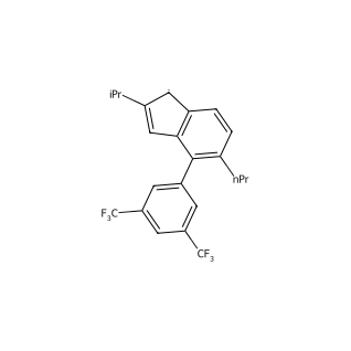 CCCc1ccc2c(c1-c1cc(C(F)(F)F)cc(C(F)(F)F)c1)C=C(C(C)C)[CH]2